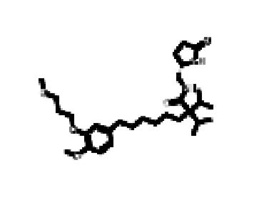 COCCCOc1cc(CCCCCCC(C(=O)NC[C@@H]2CCC(=O)N2)(C(C)C)C(C)C)ccc1OC